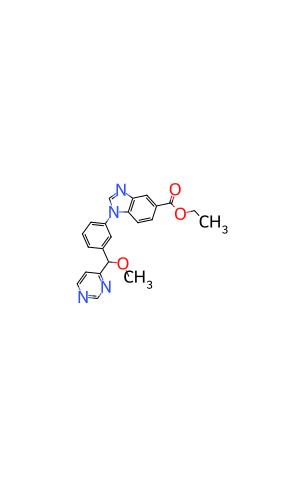 CCOC(=O)c1ccc2c(c1)ncn2-c1cccc(C(OC)c2ccncn2)c1